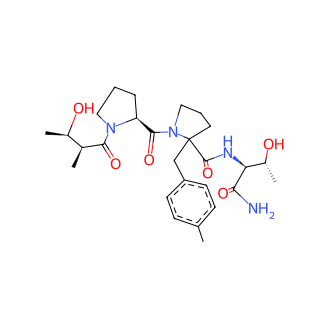 Cc1ccc(CC2(C(=O)N[C@H](C(N)=O)[C@@H](C)O)CCCN2C(=O)[C@@H]2CCCN2C(=O)[C@@H](C)[C@@H](C)O)cc1